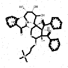 C[Si](C)(C)CCO[C@H]1O[C@H](C(O)C(=O)c2ccccc2)[C@@](O)([C@@H]2O[C@H](CO)[C@H](O)[C@H](O)[C@H]2O)[C@@](O)(C(=O)c2ccccc2)[C@]1(O)C(=O)c1ccccc1